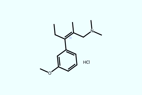 CC/C(=C(\C)CN(C)C)c1cccc(OC)c1.Cl